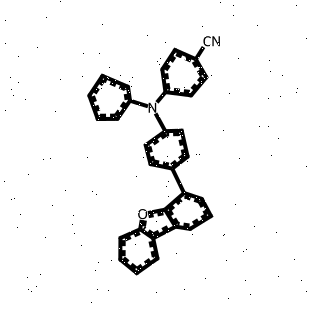 N#Cc1ccc(N(c2ccccc2)c2ccc(-c3cccc4c3oc3ccccc34)cc2)cc1